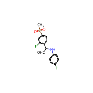 CS(=O)(=O)c1ccc(C(C=O)Nc2ccc(F)cc2)c(F)c1